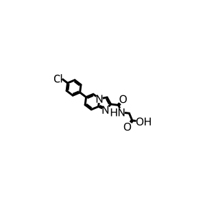 O=C(O)CNC(=O)c1cn2cc(-c3ccc(Cl)cc3)ccc2n1